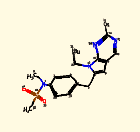 CN(c1ccc(Cc2cc3cnc(C#N)nc3n2CC(C)(C)C)cc1)S(C)(=O)=O